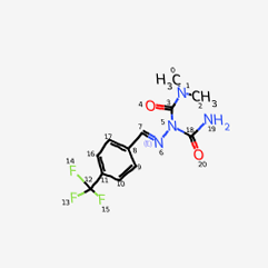 CN(C)C(=O)N(/N=C/c1ccc(C(F)(F)F)cc1)C(N)=O